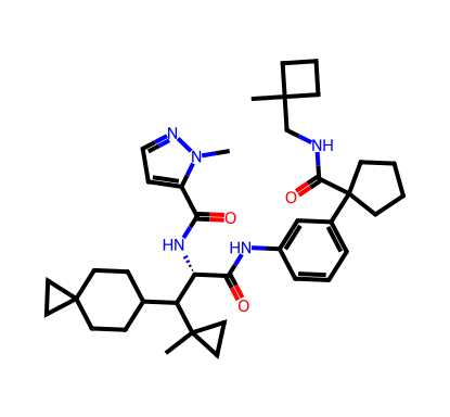 Cn1nccc1C(=O)N[C@H](C(=O)Nc1cccc(C2(C(=O)NCC3(C)CCC3)CCCC2)c1)C(C1CCC2(CC1)CC2)C1(C)CC1